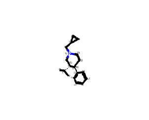 CC(C)[C@@H]1CN(CC2CC2)CC[C@H]1c1ccccc1